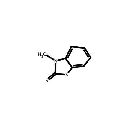 Cn1c(=S)sc2ccccc21